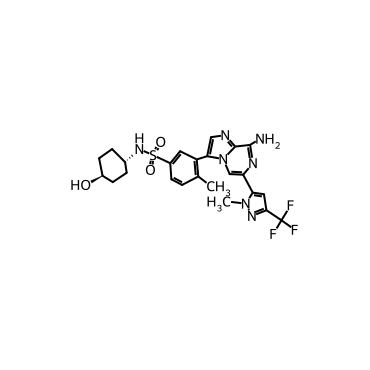 Cc1ccc(S(=O)(=O)N[C@H]2CC[C@H](O)CC2)cc1-c1cnc2c(N)nc(-c3cc(C(F)(F)F)nn3C)cn12